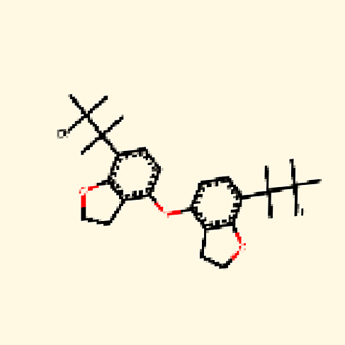 CCC(C)(C)C(C)(C)c1ccc(Oc2ccc(C(C)(C)C(C)(C)CC)c3c2CCO3)c2c1OCC2